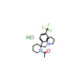 CC(=O)N1CCCCC1(CN1CCCC1)c1ccc(C(F)(F)F)cc1.Cl